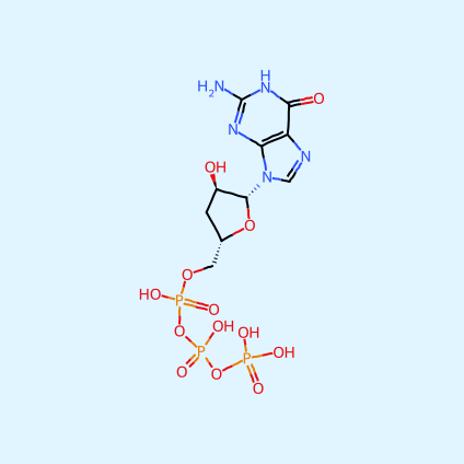 Nc1nc2c(ncn2[C@@H]2O[C@H](COP(=O)(O)OP(=O)(O)OP(=O)(O)O)C[C@H]2O)c(=O)[nH]1